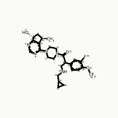 C[C@@H]1C[C@@H](O)c2ncnc(N3CCN(C(=O)C(CNCC4CC4)c4ccc(OC(F)(F)F)c(F)c4)CC3)c21